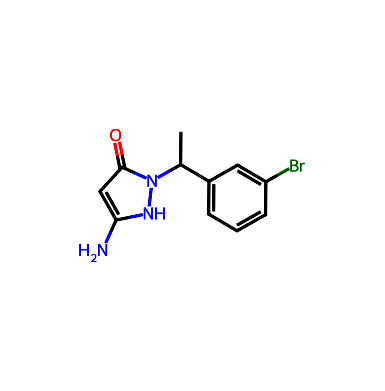 CC(c1cccc(Br)c1)n1[nH]c(N)cc1=O